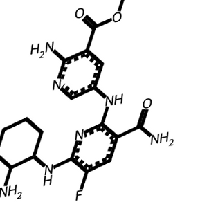 COC(=O)c1cc(Nc2nc(NC3CCCCC3N)c(F)cc2C(N)=O)cnc1N